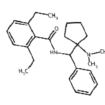 CCc1cccc(CC)c1C(=O)NC(c1ccccc1)C1(N(C)C)CCCC1